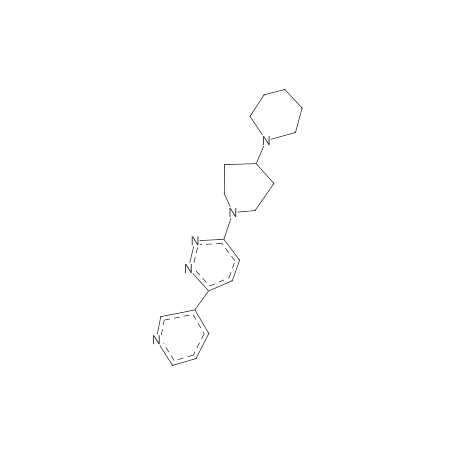 c1cncc(-c2ccc(N3CCC(N4CCCCC4)CC3)nn2)c1